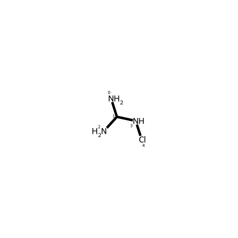 NC(N)NCl